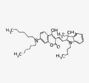 CCCCCCN(CCCCCC)c1ccc2c(O)c(/C=C/C3=[N+](CCCC)c4ccccc4C3(C)C)c(=O)oc2c1